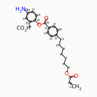 C=CC(=O)OCCCCCCCc1ccc(C(=O)Oc2ccc(N)cc2C(=O)O)cc1